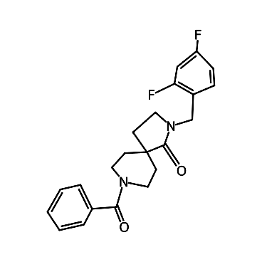 O=C(c1ccccc1)N1CCC2(CC1)CCN(Cc1ccc(F)cc1F)C2=O